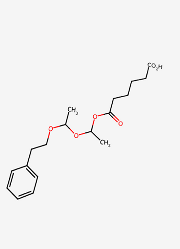 CC(OCCc1ccccc1)OC(C)OC(=O)CCCCC(=O)O